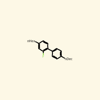 CCCCCCCCCCc1ccc(-c2ccc(CCCCCC)cc2F)cc1